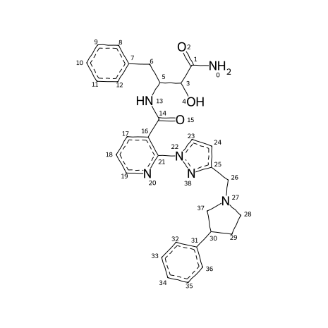 NC(=O)C(O)C(Cc1ccccc1)NC(=O)c1cccnc1-n1ccc(CN2CCC(c3ccccc3)C2)n1